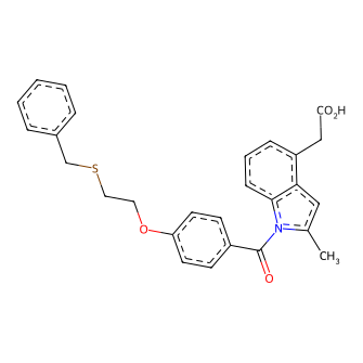 Cc1cc2c(CC(=O)O)cccc2n1C(=O)c1ccc(OCCSCc2ccccc2)cc1